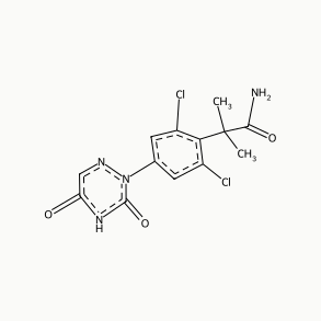 CC(C)(C(N)=O)c1c(Cl)cc(-n2ncc(=O)[nH]c2=O)cc1Cl